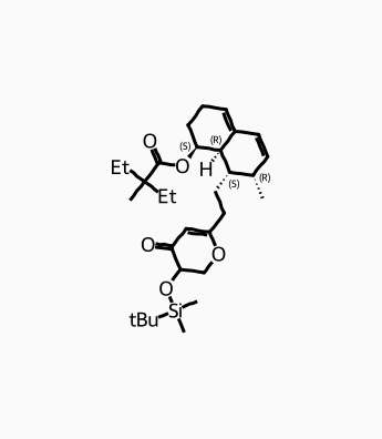 CCC(C)(CC)C(=O)O[C@H]1CCC=C2C=C[C@H](C)[C@H](CCC3=CC(=O)C(O[Si](C)(C)C(C)(C)C)CO3)[C@H]21